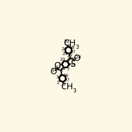 Cc1ccc(C2=c3cc4c(cc3OC2=O)=C(c2ccc(C)cc2)C(=O)S4)cc1